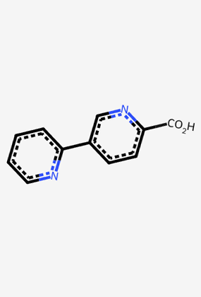 O=C(O)c1ccc(-c2ccccn2)cn1